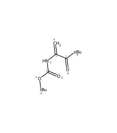 C=C(NC(=O)OC(C)(C)C)C(=O)CCCC